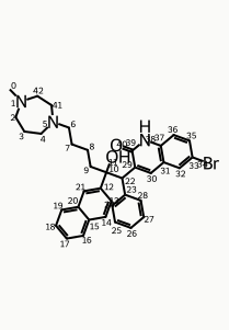 CN1CCCN(CCCCC(O)(c2ccc3ccccc3c2)C(c2ccccc2)c2cc3cc(Br)ccc3[nH]c2=O)CC1